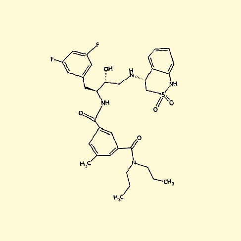 CCCN(CCC)C(=O)c1cc(C)cc(C(=O)N[C@@H](Cc2cc(F)cc(F)c2)[C@H](O)CN[C@H]2CS(=O)(=O)Nc3ccccc32)c1